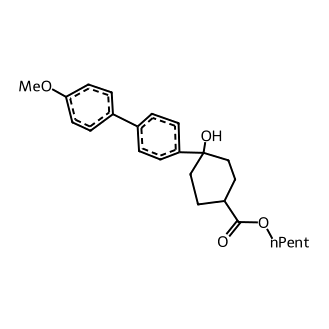 CCCCCOC(=O)C1CCC(O)(c2ccc(-c3ccc(OC)cc3)cc2)CC1